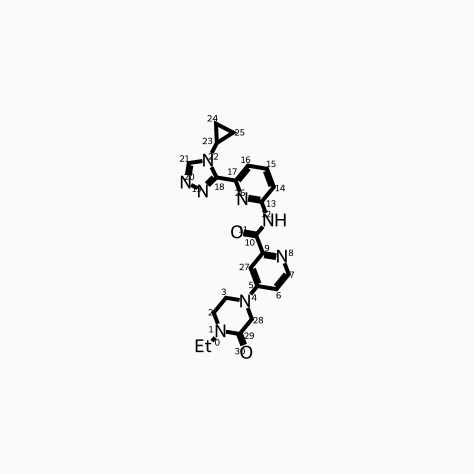 CCN1CCN(c2ccnc(C(=O)Nc3cccc(-c4nncn4C4CC4)n3)c2)CC1=O